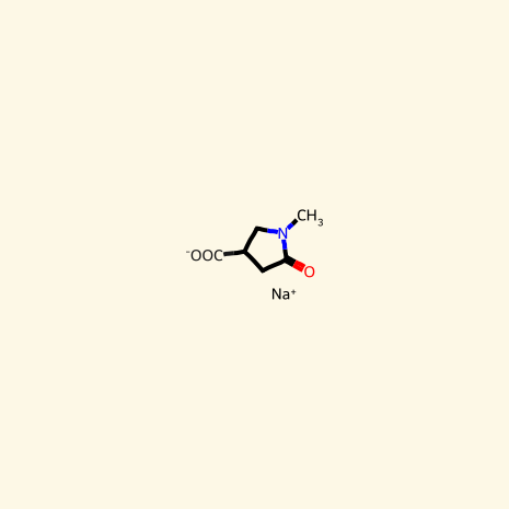 CN1CC(C(=O)[O-])CC1=O.[Na+]